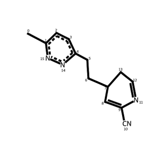 Cc1ccc(CCC2C=C(C#N)N=CC2)nn1